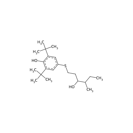 CCC(C)C(O)CCSc1cc(C(C)(C)C)c(O)c(C(C)(C)C)c1